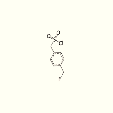 O=S(=O)(Cl)Cc1ccc(CF)cc1